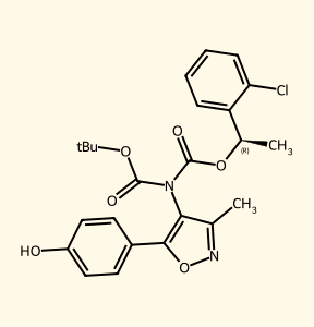 Cc1noc(-c2ccc(O)cc2)c1N(C(=O)O[C@H](C)c1ccccc1Cl)C(=O)OC(C)(C)C